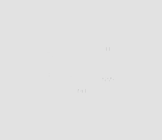 C=C/C(C(C)=N)=C(\C)NC